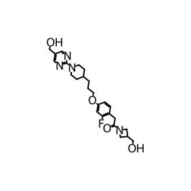 O=C(Cc1ccc(OCCCC2CCN(c3ncc(CO)cn3)CC2)cc1F)N1CC(CO)C1